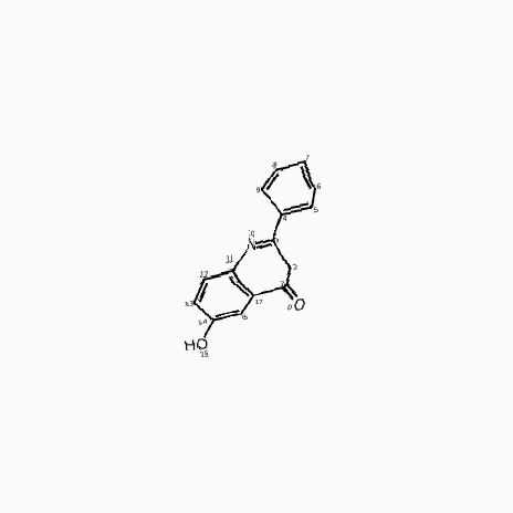 O=C1CC(c2ccccc2)=Nc2ccc(O)cc21